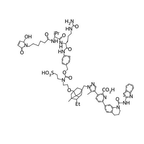 CCC1C2CC3(Cn4ncc(-c5ccc(-c6ccc7c(c6)N(C(=O)Nc6nc8ccccc8s6)CCC7)nc5C(=O)O)c4C)CC(OCCN(CCS(=O)(=O)O)C(=O)OCc4ccc(NC(=O)[C@H](CCCNC(N)=O)NC(=O)[C@@H](NC(=O)CCCCCN5C(=O)C=CC5O)C(C)C)cc4)(C2)CC1(C)C3